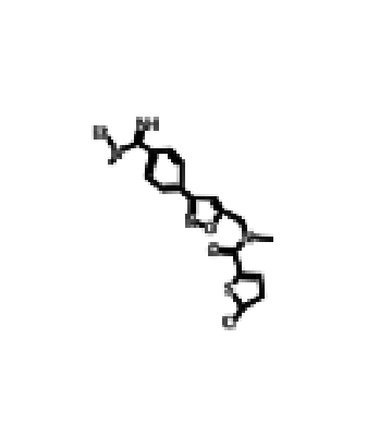 CCN(C)C(=N)c1ccc(-c2cc(CN(C)C(=O)C3=CCC(Cl)S3)on2)cc1